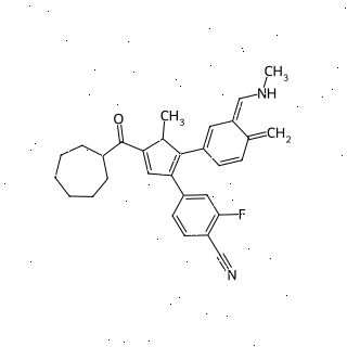 C=c1ccc(C2=C(c3ccc(C#N)c(F)c3)C=C(C(=O)C3CCCCCC3)C2C)c/c1=C/NC